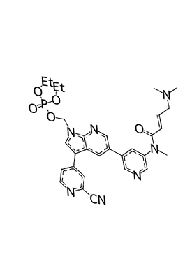 CCOP(=O)(OCC)OCn1cc(-c2ccnc(C#N)c2)c2cc(-c3cncc(N(C)C(=O)C=CCN(C)C)c3)cnc21